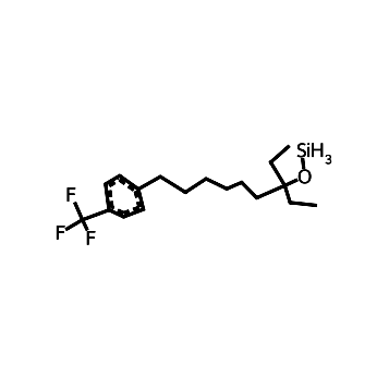 CCC(CC)(CCCCCCc1ccc(C(F)(F)F)cc1)O[SiH3]